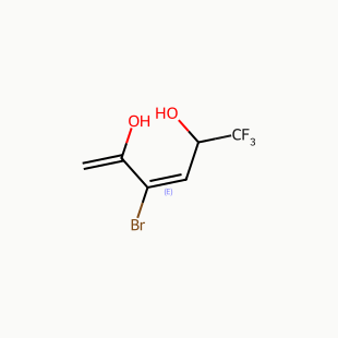 C=C(O)/C(Br)=C\C(O)C(F)(F)F